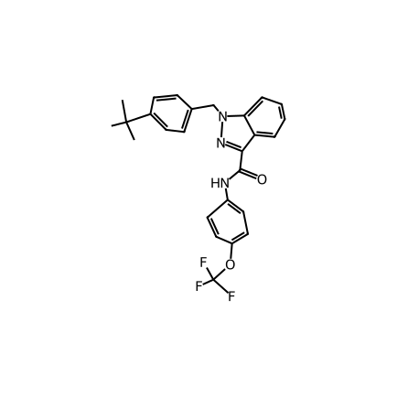 CC(C)(C)c1ccc(Cn2nc(C(=O)Nc3ccc(OC(F)(F)F)cc3)c3ccccc32)cc1